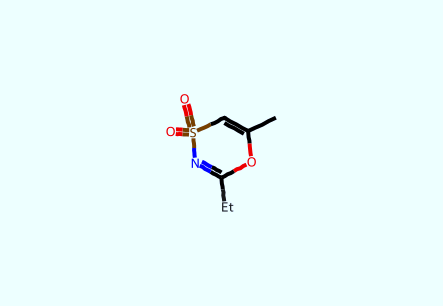 CCC1=NS(=O)(=O)C=C(C)O1